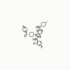 CN1CCN(C(=O)[C@H]2CC[C@@H](n3c(Nc4ccc(F)cc4F)nc4cnc(N[C@H]5CC[C@H](C)CC5)nc43)CC2)CC1